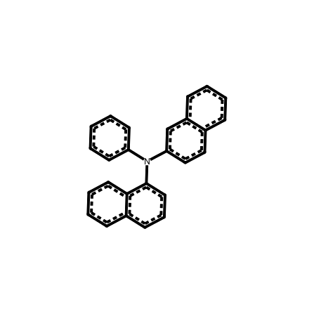 c1ccc(N(c2ccc3ccccc3c2)c2cccc3ccccc23)cc1